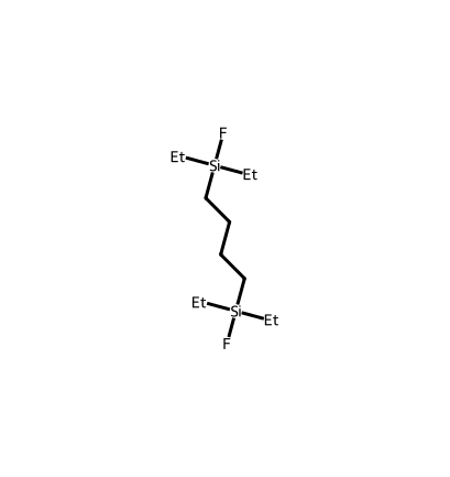 CC[Si](F)(CC)CCCC[Si](F)(CC)CC